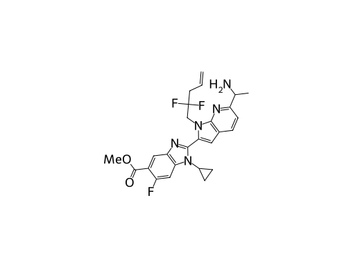 C=CCC(F)(F)Cn1c(-c2nc3cc(C(=O)OC)c(F)cc3n2C2CC2)cc2ccc(C(C)N)nc21